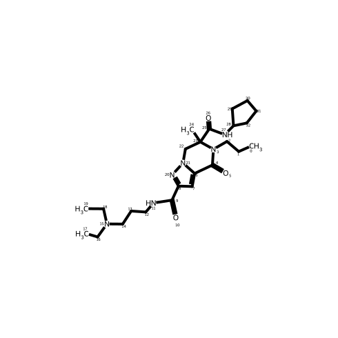 CCCN1C(=O)c2cc(C(=O)NCCCN(CC)CC)nn2CC1(C)C(=O)NC1CCCC1